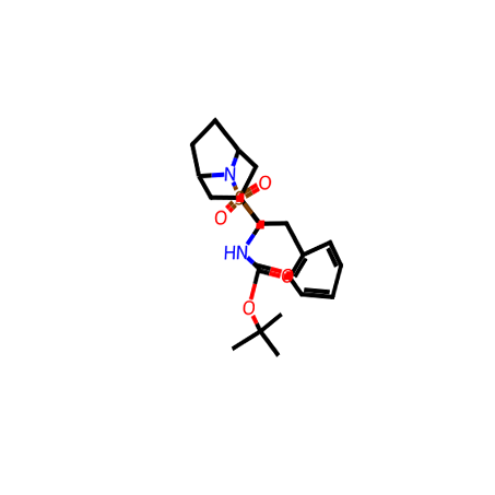 CC(C)(C)OC(=O)NCC1CC2CCC(C1)N2S(=O)(=O)CCc1ccccc1